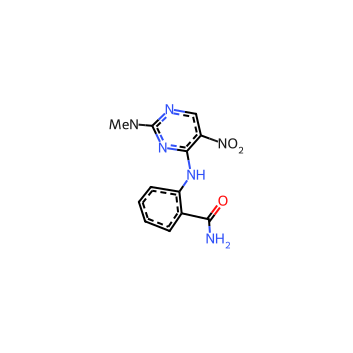 CNc1ncc([N+](=O)[O-])c(Nc2ccccc2C(N)=O)n1